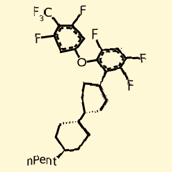 CCCCC[C@H]1CC[C@H]([C@H]2CC[C@H](c3c(F)c(F)[c]c(F)c3Oc3cc(F)c(C(F)(F)F)c(F)c3)CC2)CC1